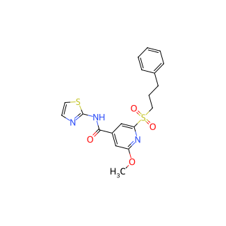 COc1cc(C(=O)Nc2nccs2)cc(S(=O)(=O)CCCc2ccccc2)n1